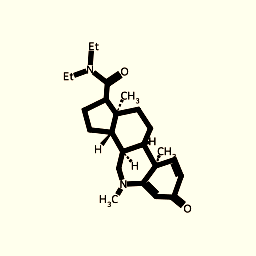 CCN(CC)C(=O)C1CC[C@H]2[C@@H]3CN(C)C4=CC(=O)C=C[C@]4(C)[C@@H]3CC[C@]12C